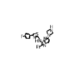 CCc1nc2ccc(N3CCCNCC3)nn2c1NCc1nc(-c2ccc(F)cc2)cs1